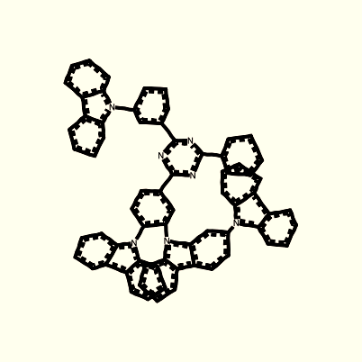 c1ccc(-c2nc(-c3cccc(-n4c5ccccc5c5ccccc54)c3)nc(-c3ccc(-n4c5ccccc5c5ccccc54)c(-n4c5ccccc5c5ccc(-n6c7ccccc7c7ccccc76)cc54)c3)n2)cc1